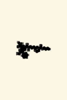 CCCCOC(=O)N1CCOC(CCCNC(=O)c2cc(C(=O)NC)c3c(c2)[C@H](c2ccccc2)[C@@H](CF)O3)C1